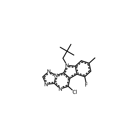 Cc1cc(F)c2c3c(Cl)nc4ncnn4c3n(CC(C)(C)C)c2c1